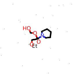 CCOC(C[O])(OCO)N1CCCCC1